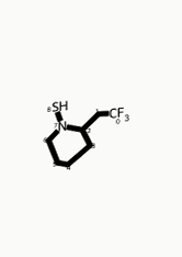 FC(F)(F)CC1CCCCN1S